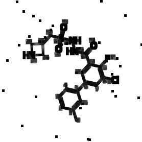 Cc1cccc(-c2cc(Cl)c(F)c(C(=O)NNS(=O)(=O)CC3CNC3)c2)c1